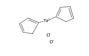 C1=CC[C]([Ta+2][C]2=CC=CC2)=C1.[Cl-].[Cl-]